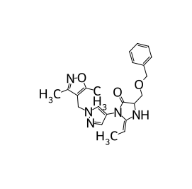 CC=C1NC(COCc2ccccc2)C(=O)N1c1cnn(Cc2c(C)noc2C)c1